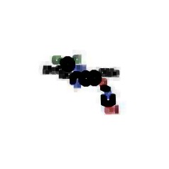 COc1cc(Nc2c(C#N)cnc3cc4cc(OCCN5CCC(O)CC5)c(OC)cc4cc23)c(Cl)cc1Cl